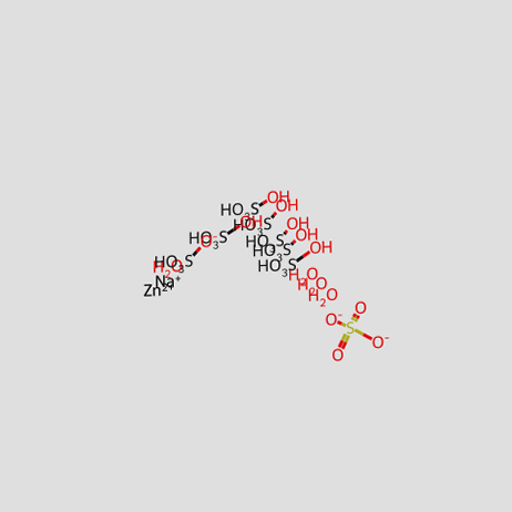 O.O.O.O.O=S(=O)(O)O.O=S(=O)(O)O.O=S(=O)(O)O.O=S(=O)(O)O.O=S(=O)(O)O.O=S(=O)(O)O.O=S(=O)([O-])O.O=S(=O)([O-])[O-].[Na+].[Zn+2]